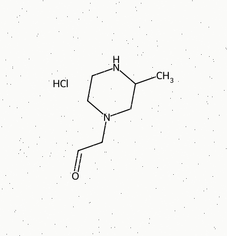 CC1CN(CC=O)CCN1.Cl